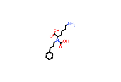 NCCCCC(C(=O)O)N(CCCc1ccccc1)C(=O)O